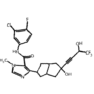 Cn1cnc(C2CC3CC(O)(C#CC(O)C(F)(F)F)CC3C2)c1C(=O)Nc1ccc(F)c(Cl)c1